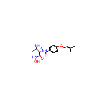 CC(C)=CCOc1ccc(C(=O)N[C@H](C(=O)NO)[C@@H](C)N)cc1